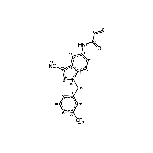 C=CC(=O)Nc1ccc2c(c1)c(C#N)cn2Cc1cccc(C(F)(F)F)c1